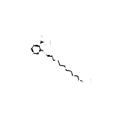 CCCCCCCCCCC=COc1ccccc1C(=O)O